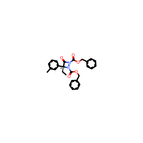 CC[C@@]1(c2cccc(C)c2)C(=O)N(C(=O)OCc2ccccc2)N1C(=O)OCc1ccccc1